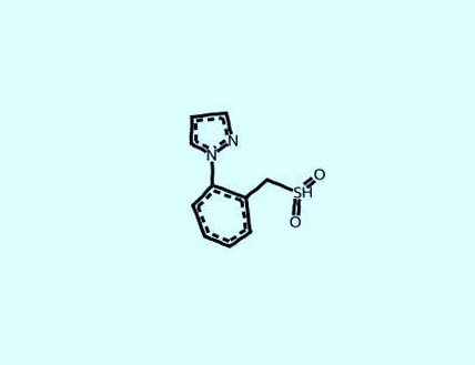 O=[SH](=O)Cc1ccccc1-n1cccn1